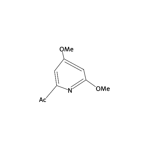 COc1cc(OC)nc(C(C)=O)c1